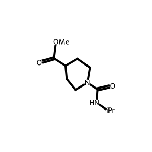 COC(=O)C1CCN(C(=O)NC(C)C)CC1